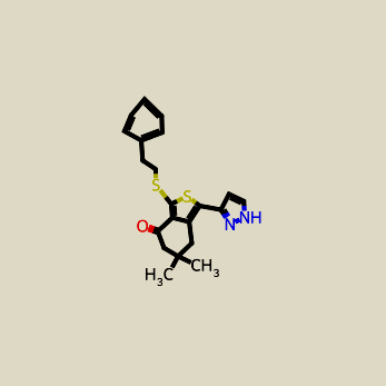 CC1(C)CC(=O)c2c(SCCc3ccccc3)sc(-c3cc[nH]n3)c2C1